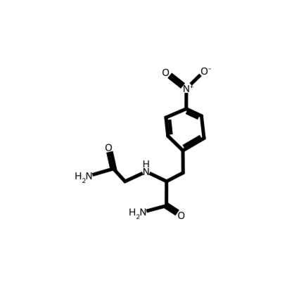 NC(=O)CNC(Cc1ccc([N+](=O)[O-])cc1)C(N)=O